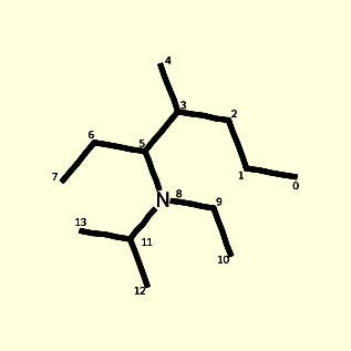 CCCC(C)C(CC)N(CC)C(C)C